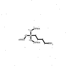 CCCCCCO[Si](CCCCN)(OCCCCCC)OCCCCCC